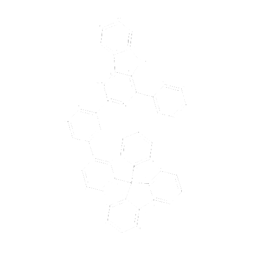 c1ccc(-c2nc(-c3cccc(-c4cccc(C5(c6ccccc6)c6ccccc6-c6ccccc65)c4)c3)nc3c2oc2ccccc23)cc1